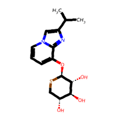 CC(C)c1cn2cccc(O[C@@H]3SC[C@@H](O)[C@H](O)[C@H]3O)c2n1